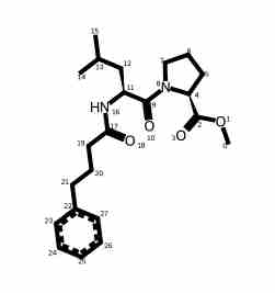 COC(=O)[C@@H]1CCCN1C(=O)[C@H](CC(C)C)NC(=O)CCCc1ccccc1